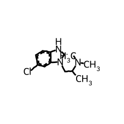 CC(CN1[CH]Nc2ccc(Cl)cc21)N(C)C